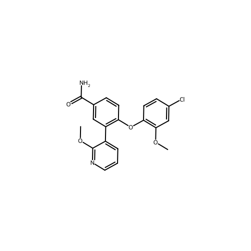 COc1cc(Cl)ccc1Oc1ccc(C(N)=O)cc1-c1cccnc1OC